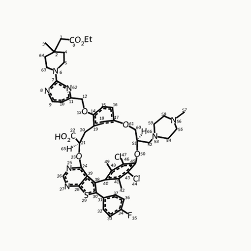 CCOC(=O)CC1(C)CCN(c2nccc(COc3ccc4cc3C[C@H](C(=O)O)Oc3ncnc5sc(-c6ccc(F)cc6)c(c35)-c3c(C)c(Cl)c(c(Cl)c3C)O[C@H](CN3CCN(C)CC3)CO4)n2)CC1